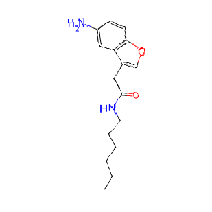 CCCCCCNC(=O)Cc1coc2ccc(N)cc12